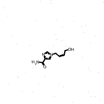 NC(=O)c1cn(C/C=C\CO)cn1